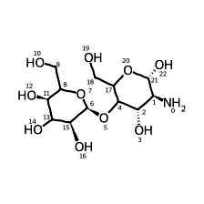 N[C@H]1[C@H](O)C(O[C@@H]2OC(CO)[C@H](O)C(O)[C@@H]2O)C(CO)O[C@@H]1O